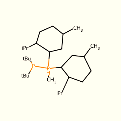 CC1CCC(C(C)C)C([PH](C)(C2CC(C)CCC2C(C)C)P(C(C)(C)C)C(C)(C)C)C1